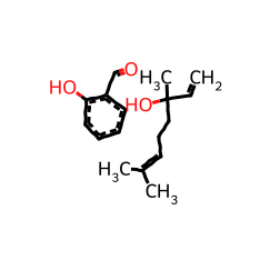 C=CC(C)(O)CCC=C(C)C.O=Cc1ccccc1O